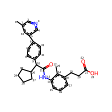 Cc1cncc(-c2ccc(C(C(=O)Nc3cccc(CCC(=O)O)c3C)C3CCCC3)cc2)c1